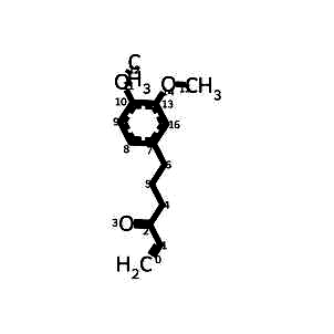 C=CC(=O)CCCc1ccc(OC)c(OC)c1